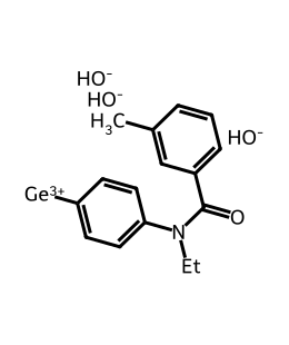 CCN(C(=O)c1cccc(C)c1)c1cc[c]([Ge+3])cc1.[OH-].[OH-].[OH-]